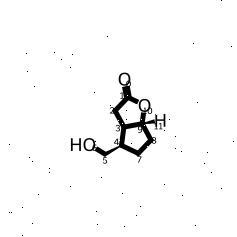 O=C1CC2[C@H](CO)CC[C@H]2O1